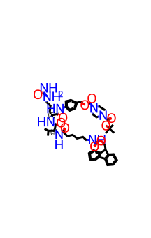 CC(C)[C@H](NC(=O)CCCCCNC(=O)OCC1c2ccccc2-c2ccccc21)C(=O)N[C@@H](CCCNC(N)=O)C(=O)Nc1ccc(COC(=O)N2CCN(C(=O)OC(C)(C)C)CC2)cc1